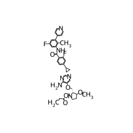 C=CC(=O)ON1CC[C@H](OC)[C@H]1COc1cncnc1N.Cc1c(NC(=O)c2ccc(C3CC3)cc2F)cc(F)cc1-c1ccncc1